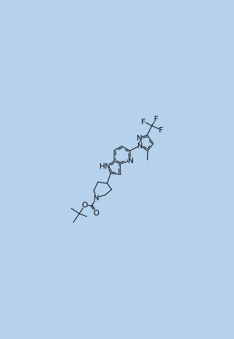 Cc1cc(C(F)(F)F)nn1-c1ccc2[nH]c(C3CCN(C(=O)OC(C)(C)C)CC3)cc2n1